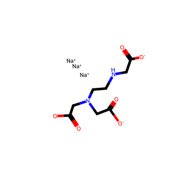 O=C([O-])CNCCN(CC(=O)[O-])CC(=O)[O-].[Na+].[Na+].[Na+]